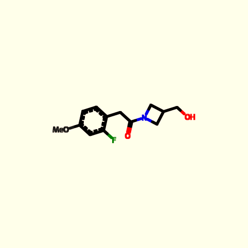 COc1ccc(CC(=O)N2CC(CO)C2)c(F)c1